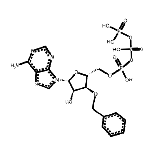 Nc1ncnc2c1ncn2[C@@H]1O[C@H](COP(=O)(O)OP(=O)(O)OP(=O)(O)O)[C@@H](OCc2ccccc2)[C@H]1O